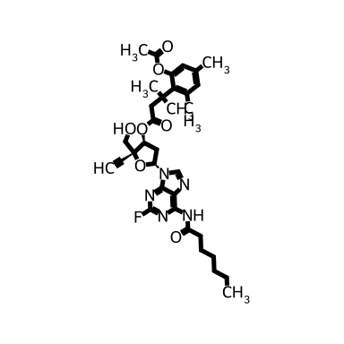 C#C[C@]1(CO)O[C@@H](n2cnc3c(NC(=O)CCCCCC)nc(F)nc32)C[C@@H]1OC(=O)CC(C)(C)c1c(C)cc(C)cc1OC(C)=O